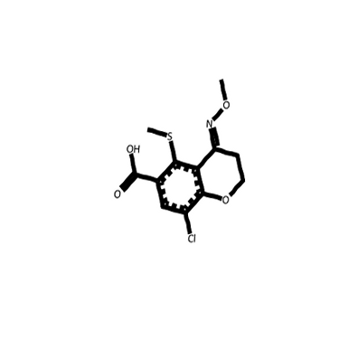 CON=C1CCOc2c(Cl)cc(C(=O)O)c(SC)c21